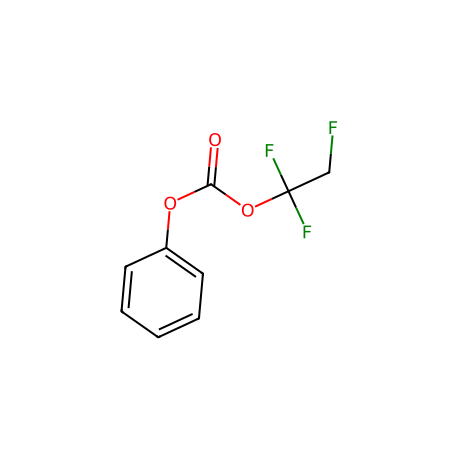 O=C(Oc1ccccc1)OC(F)(F)CF